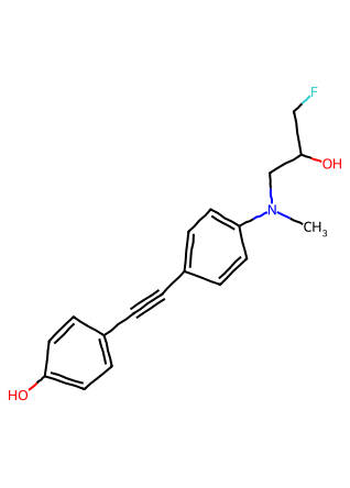 CN(CC(O)CF)c1ccc(C#Cc2ccc(O)cc2)cc1